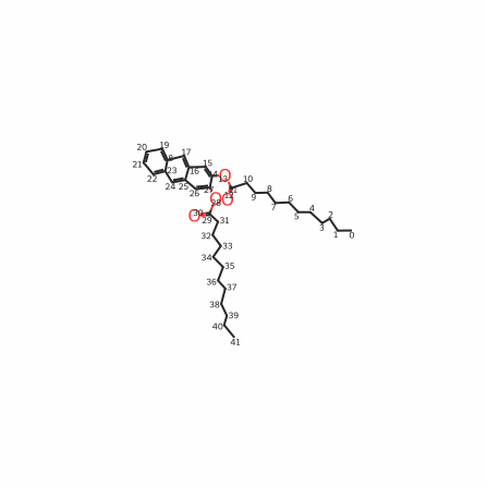 CCCCCCCCCCCC(=O)Oc1cc2cc3ccccc3cc2cc1OC(=O)CCCCCCCCCCC